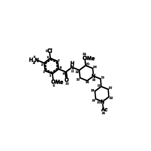 COc1cc(N)c(Cl)cc1C(=O)NC1CCN(CC2CCN(C(C)=O)CC2)CC1OC